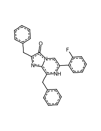 O=c1c(Cc2ccccc2)nc2c(Cc3ccccc3)[nH]c(-c3ccccc3F)cn1-2